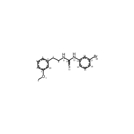 COc1cccc(CCNC(=S)Nc2cccc(Br)c2)c1